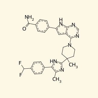 Cc1nc(C2(C)CCN(c3ncnc4[nH]c(-c5ccc(C(N)=O)cc5)cc34)CC2)[nH]c1-c1ccc(C(F)F)cc1